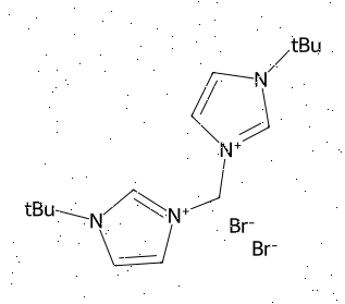 CC(C)(C)n1cc[n+](C[n+]2ccn(C(C)(C)C)c2)c1.[Br-].[Br-]